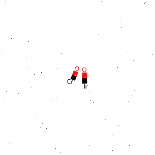 [O]=[Cr].[O]=[Ir]